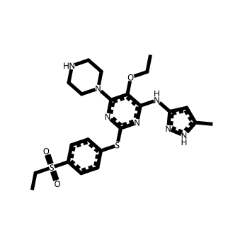 CCOc1c(Nc2cc(C)[nH]n2)nc(Sc2ccc(S(=O)(=O)CC)cc2)nc1N1CCNCC1